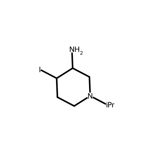 CC(C)N1CCC(I)C(N)C1